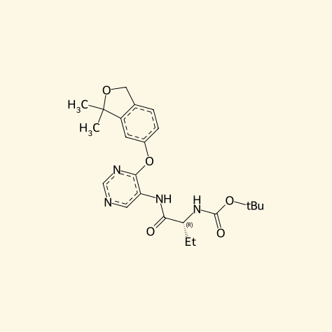 CC[C@@H](NC(=O)OC(C)(C)C)C(=O)Nc1cncnc1Oc1ccc2c(c1)C(C)(C)OC2